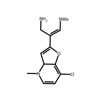 CN/C=C(\CN)C1=CC2C(=C(Cl)C=CN2C)O1